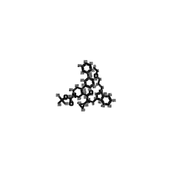 CCOCCCn1cc(CN(C(=O)C2=C(c3cccc(-c4ccccc4)c3)CCN(C(=O)OC(C)(C)C)C2)C2CC2)c2ccccc21